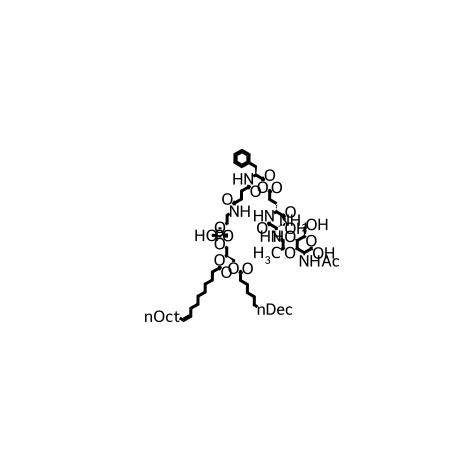 CCCCCCCC/C=C\CCCCCCCC(=O)O[C@H](COC(=O)CCCCCCCCCCCCCCC)COP(=O)(O)OCCNC(=O)CCC(=O)N[C@@H](Cc1ccccc1)C(=O)OC(=O)CC[C@@H](NC(=O)[C@H](CO)NCC(C)O[C@H]1[C@H](O)[C@@H](CO)O[C@H](O)[C@@H]1NC(C)=O)C(N)=O